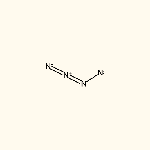 [N]N=[N+]=[N-]